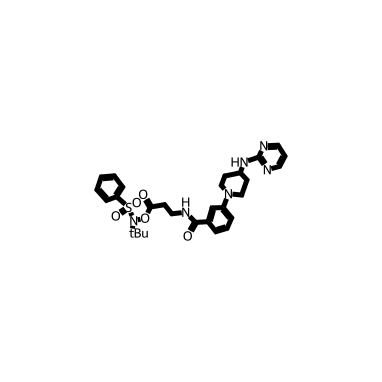 CC(C)(C)N(OC(=O)CCNC(=O)c1cccc(N2CCC(Nc3ncccn3)CC2)c1)S(=O)(=O)c1ccccc1